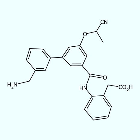 CC(C#N)Oc1cc(C(=O)Nc2ccccc2CC(=O)O)cc(-c2cccc(CN)c2)c1